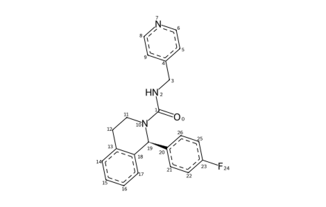 O=C(NCc1ccncc1)N1CCc2ccccc2[C@@H]1c1ccc(F)cc1